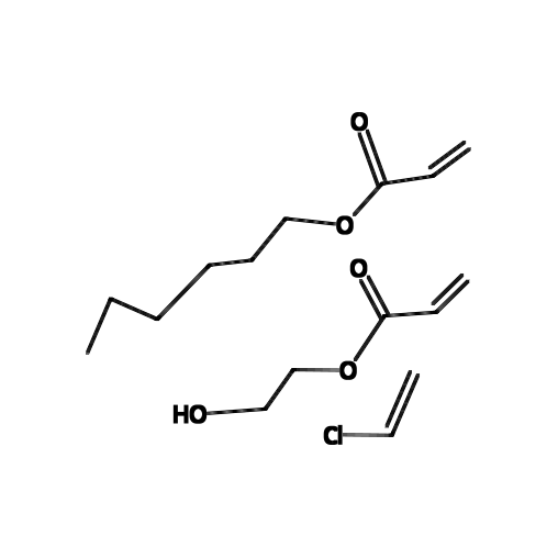 C=CC(=O)OCCCCCC.C=CC(=O)OCCO.C=CCl